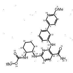 COc1ccc(-c2cccc(Nc3nc(N[C@@H]4CCCC[C@@H]4NC(=O)OC(C)(C)C)ncc3C(N)=O)c2)cn1